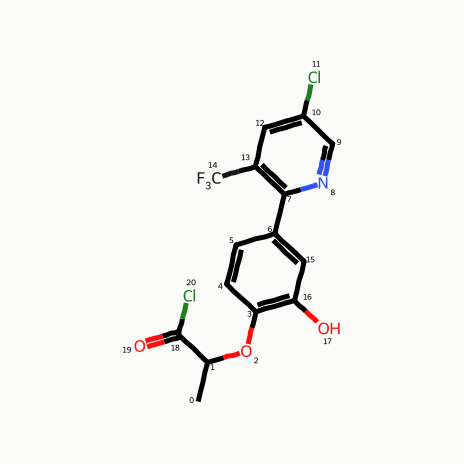 CC(Oc1ccc(-c2ncc(Cl)cc2C(F)(F)F)cc1O)C(=O)Cl